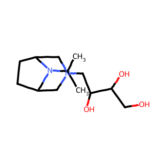 CC(C)N1C2CCC1CN(CC(O)C(O)CO)C2